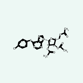 CC(=O)OC[C@H]1O[C@@H](n2cnc3c(Sc4ccc(Cl)cc4)ncnc32)[C@H](OC(C)=O)[C@@H]1OC(C)=O